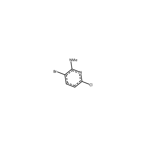 CNc1nc(Cl)ccc1Br